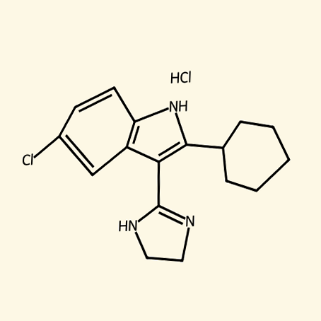 Cl.Clc1ccc2[nH]c(C3CCCCC3)c(C3=NCCN3)c2c1